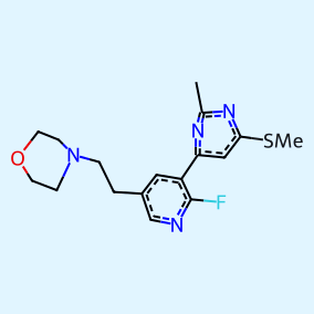 CSc1cc(-c2cc(CCN3CCOCC3)cnc2F)nc(C)n1